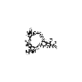 CC(C)NC(=O)c1ccc2c(c1)OCCCOc1c(cnn1C)-c1cc3c(n[nH]c3cn1)/C=C/2